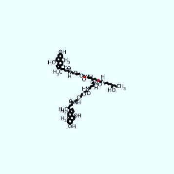 CCCC(CO)CCCCNC(=O)C[C@H](CCCCNC(=O)COCCOCCNC(=O)CCC(C)[C@H]1CCC2C3C(CC[C@@]21C)[C@@]1(C)CC[C@@H](O)CC1C[C@@H]3O)NC(=O)CCCNC(=O)COCCOCCNC(=O)CCC(C)[C@H]1CCC2C3C(CC[C@@]21C)[C@@]1(C)CC[C@@H](O)CC1C[C@@H]3O